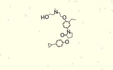 CCc1cc(N2CC[C@H](Oc3ccc(C4CC4)cc3)C2=O)ccc1OCCN(C)CCO